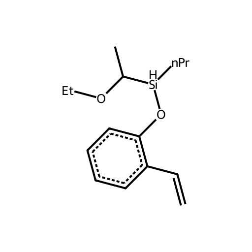 C=Cc1ccccc1O[SiH](CCC)C(C)OCC